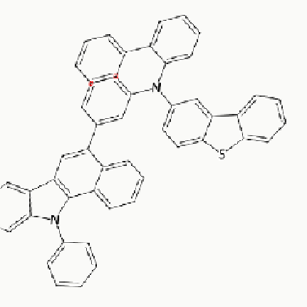 c1ccc(-c2ccccc2N(c2cccc(-c3cc4c5ccccc5n(-c5ccccc5)c4c4ccccc34)c2)c2ccc3sc4ccccc4c3c2)cc1